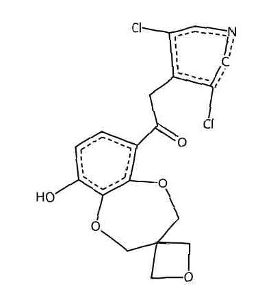 O=C(Cc1c(Cl)cncc1Cl)c1ccc(O)c2c1OCC1(COC1)CO2